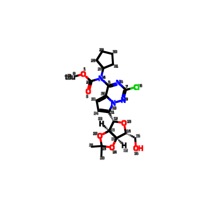 CC(C)(C)OC(=O)N(c1nc(Cl)nn2c([C@@H]3O[C@H](CO)[C@H]4OC(C)(C)O[C@H]43)ccc12)C1CCCC1